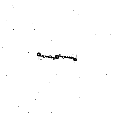 OC(COCCCCOCCOc1ccc(OCCOCCCCOCC(O)c2ccccc2)cc1)c1ccccc1